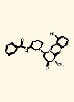 Cn1c(=O)cc(N2CCCC(NC(=O)c3ccccc3)C2)n(Cc2ccccc2C#N)c1=O